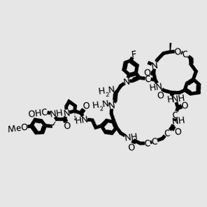 COc1ccc(C[C@H](NC=O)C(=O)N2CCC[C@@]2(C)C(=O)NCCc2ccc3c(c2)CN(N)/C=C(\N)Cn2cc(c4cc(F)ccc42)CC2NC(=O)[C@H](Cc4cccc(c4)C/C=C/CO[C@H](C)CCN(C)C2=O)NC(=O)CNC(=O)CCCCCC(=O)NC3)cc1